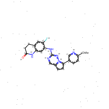 COc1ccc(-c2ccc3cnc(Nc4cc5c(cc4F)CCC(=O)N5)nn23)cn1